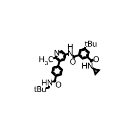 Cc1ncc(NC(=O)c2cc(C(=O)NC3CC3)cc(C(C)(C)C)c2)cc1-c1ccc(C(=O)NCC(C)(C)C)cc1